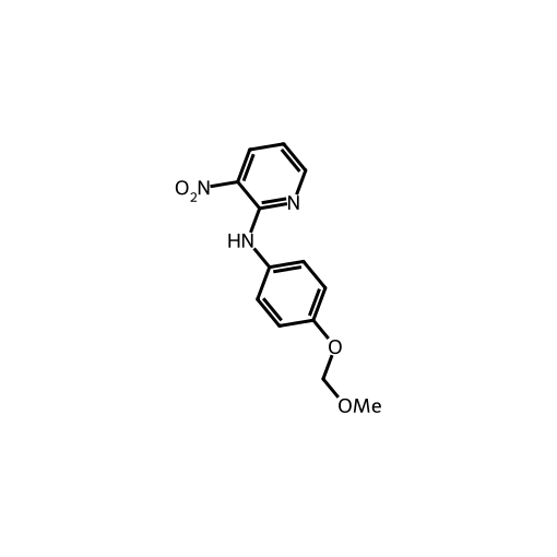 COCOc1ccc(Nc2ncccc2[N+](=O)[O-])cc1